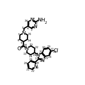 Nc1ncc(CN2CCC(C(=O)N3CCC(n4c(-c5ccccn5)nc5cc(Cl)ccc54)CC3)CC2)cn1